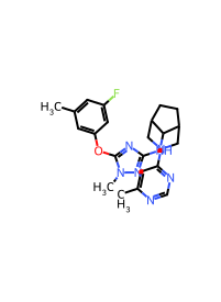 Cc1cc(F)cc(Oc2nc(NC3C4CCC3CN(c3cc(C)ncn3)C4)nn2C)c1